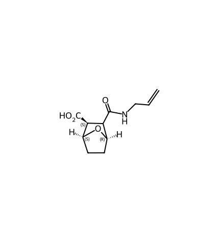 C=CCNC(=O)C1[C@H]2CC[C@H](O2)[C@H]1C(=O)O